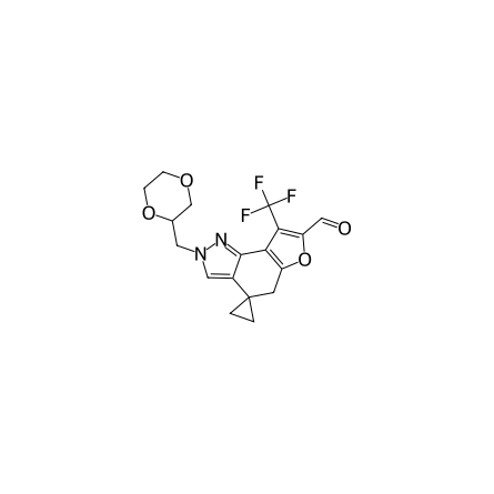 O=Cc1oc2c(c1C(F)(F)F)-c1nn(CC3COCCO3)cc1C1(CC1)C2